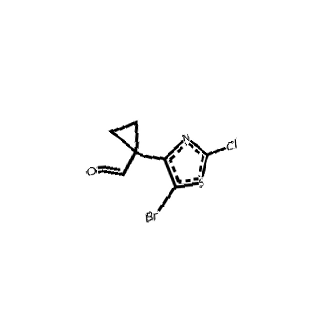 O=CC1(c2nc(Cl)sc2Br)CC1